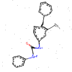 Cc1cc(NC(=O)Nc2ccccc2)ccc1-c1ccccc1